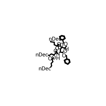 CCCCCCCCCCCCCC(=O)OC(CCCCCCCCCCCC)C(=O)N[C@H]1[C@H](OCc2ccccc2)O[C@@H]2COC(c3ccccc3)O[C@H]2[C@@H]1OC(=O)CCCCCCCCCCCCC